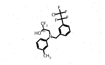 Cc1cccc(N(Cc2cccc(C(F)(F)C(F)(F)Cl)c2)C[C@@H](O)C(F)(F)F)c1